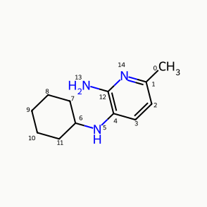 Cc1ccc(NC2CCCCC2)c(N)n1